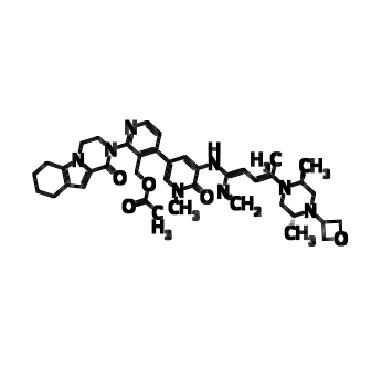 C=N/C(=C\C=C(/C)N1C[C@@H](C)N(C2COC2)C[C@@H]1C)Nc1cc(-c2ccnc(N3CCn4c(cc5c4CCCC5)C3=O)c2COC(C)=O)cn(C)c1=O